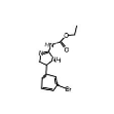 CCOC(=O)NC1=NCC(c2cccc(Br)c2)N1